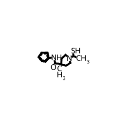 CC(S)N1CCC(C)(C(=O)Nc2ccccc2)CC1